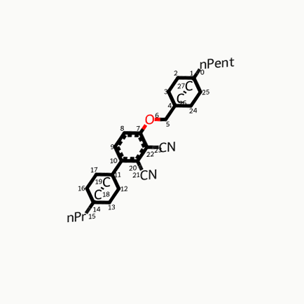 CCCCCC12CCC(COc3ccc(C45CCC(CCC)(CC4)CC5)c(C#N)c3C#N)(CC1)CC2